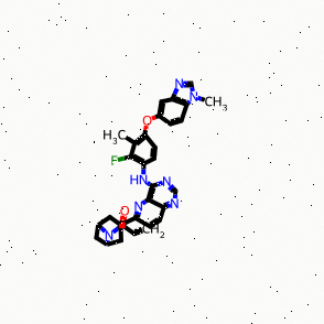 C=CC(=O)N1C2CC(c3ccc4ncnc(Nc5ccc(Oc6ccc7c(c6)ncn7C)c(C)c5F)c4n3)CC1C2